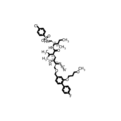 CC[C@H](C)[C@@H](CNS(=O)(=O)c1ccc(Cl)cc1)NC(=O)[C@@H](C[C@H](O)[C@H](COCc1ccc(-c2ccc(F)cc2)c(OCCCOC)c1)N=[N+]=[N-])C(C)C